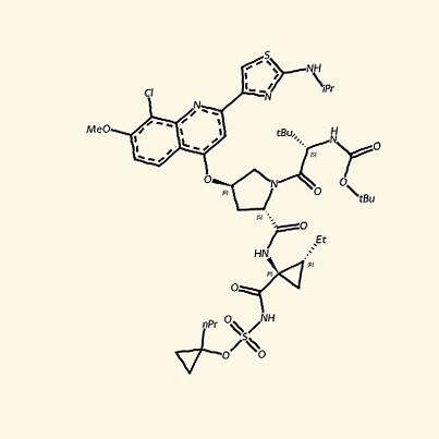 CCCC1(OS(=O)(=O)NC(=O)[C@@]2(NC(=O)[C@@H]3C[C@@H](Oc4cc(-c5csc(NC(C)C)n5)nc5c(Cl)c(OC)ccc45)CN3C(=O)[C@@H](NC(=O)OC(C)(C)C)C(C)(C)C)C[C@H]2CC)CC1